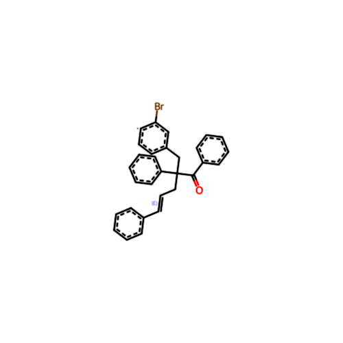 O=C(c1ccccc1)C(C/C=C/c1ccccc1)(Cc1cc[c]c(Br)c1)c1ccccc1